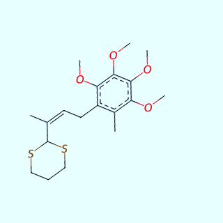 COc1c(C)c(CC=C(C)C2SCCCS2)c(OC)c(OC)c1OC